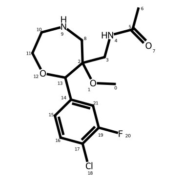 COC1(CNC(C)=O)CNCCOC1c1ccc(Cl)c(F)c1